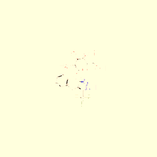 OC[C@H]1O[C@@H](Oc2n[nH]c(C(F)(F)F)c2Cc2ccccc2)[C@H](O)[C@@H](O)[C@@H]1O